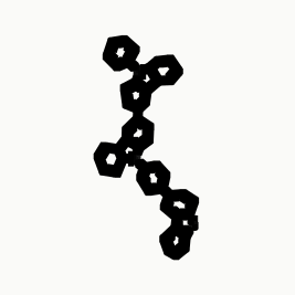 C1=CC2c3cc(-c4ccc5c(c4)C4C=CC=CC4N5c4ccc(-c5ccc6sc7ccccc7c6c5)cc4)ccc3N(c3ccccc3)C2C=C1